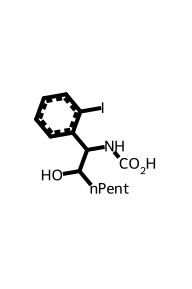 CCCCCC(O)C(NC(=O)O)c1ccccc1I